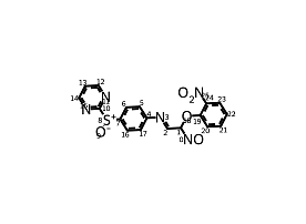 O=NC(C=Nc1ccc([S+]([O-])c2ncccn2)cc1)Oc1ccccc1[N+](=O)[O-]